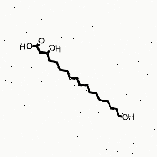 O=C(O)CC(O)CCCCCCCCCCCCCCCO